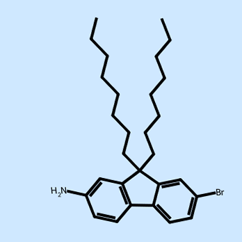 CCCCCCCCC1(CCCCCCCC)c2cc(N)ccc2-c2ccc(Br)cc21